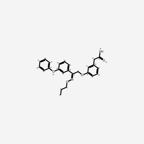 CCCON=C(COc1cccc(CC(=O)O)c1)c1cccc(Oc2ccccc2)c1